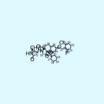 CN1NC(=O)C[C@H]1C(=O)N1CC[C@@]2(S(=O)(=O)c3ccccc3)c3ccc(OCc4c(F)cccc4Cl)cc3CC[C@@H]12